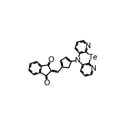 O=C1C(=CC2=CC=C(N3c4cccnc4[Te]c4ncccc43)C2)C(=O)c2ccccc21